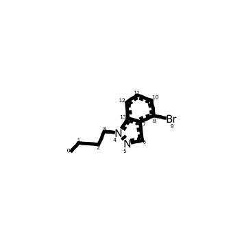 CCCCn1ncc2c(Br)cccc21